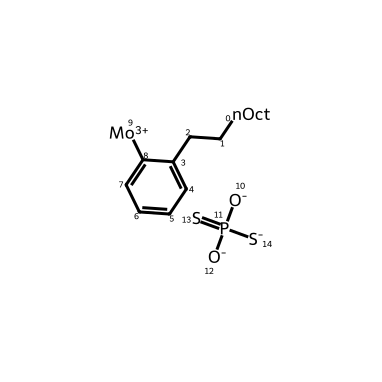 CCCCCCCCCCc1cccc[c]1[Mo+3].[O-]P([O-])(=S)[S-]